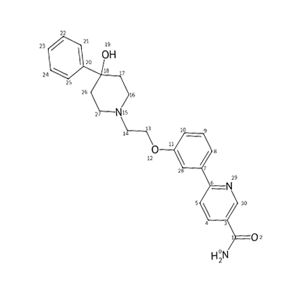 NC(=O)c1ccc(-c2cccc(OCCN3CCC(O)(c4ccccc4)CC3)c2)nc1